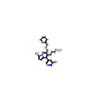 CCc1ccc2c(-c3cncc(Br)c3)c(CCCC(=O)O)c(COCc3ccccn3)nn12